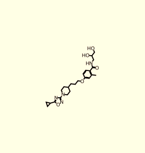 Cc1cc(OCCCC2CCN(c3noc(C4CC4)n3)CC2)ccc1C(=O)NCC(O)CO